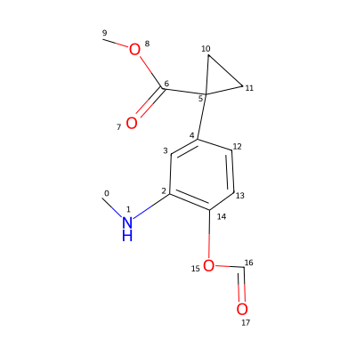 CNc1cc(C2(C(=O)OC)CC2)ccc1OC=O